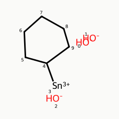 [OH-].[OH-].[OH-].[Sn+3][CH]1CCCCC1